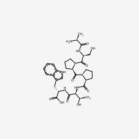 C[C@H](N)C(=O)N[C@@H](CO)C(=O)N1CCC[C@@H]1C(=O)N1CCC[C@H]1C(=O)N[C@H](C(=O)N[C@@H](Cc1c[nH]c2ccccc12)C(=O)O)[C@@H](C)O